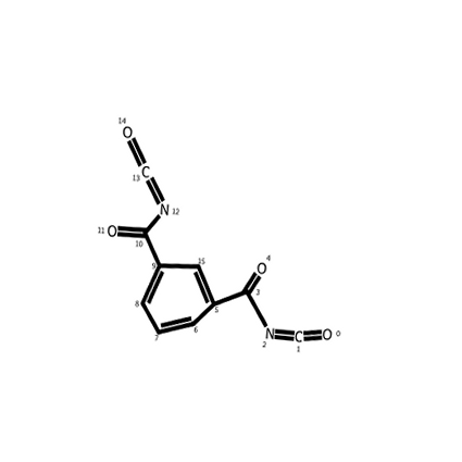 O=C=NC(=O)c1cccc(C(=O)N=C=O)c1